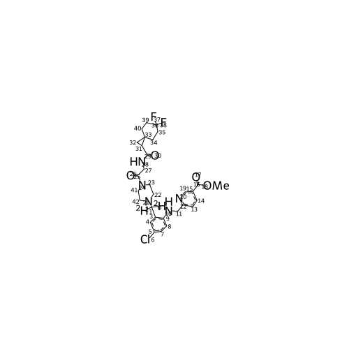 [2H]C([2H])(c1cc(Cl)ccc1NCc1ccc(C(=O)OC)cn1)N1CCN(C(=O)CNC(=O)C2CC23CCC(F)(F)CC3)CC1